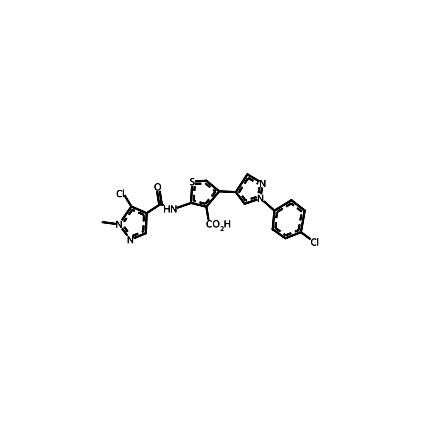 Cn1ncc(C(=O)Nc2scc(-c3cnn(-c4ccc(Cl)cc4)c3)c2C(=O)O)c1Cl